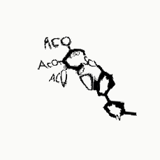 CC(=O)O[C@@H]1[C@@H](OC(C)=O)[C@H](OC(C)=O)CS[C@H]1Oc1cc(-c2ccnc(C)c2)ccc1Cl